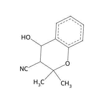 CC1(C)Oc2ccccc2C(O)C1C#N